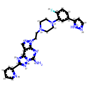 Nc1nc2c(cnn2CCN2CCN(c3cc(-c4ccn[nH]4)ccc3F)CC2)c2nc(-c3ccccn3)nn12